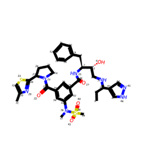 CCC(NC[C@@H](O)[C@H](Cc1ccccc1)NC(=O)c1cc(C(=O)N2CCCC2c2nc(C)cs2)cc(N(C)S(C)(=O)=O)c1)c1cn[nH]c1